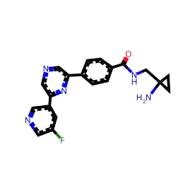 NC1(CNC(=O)c2ccc(-c3cncc(-c4cncc(F)c4)n3)cc2)CC1